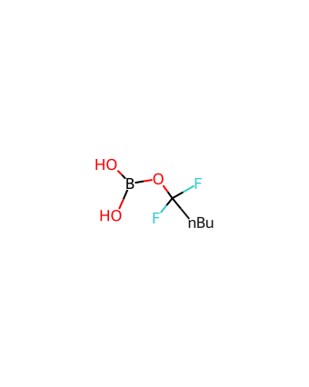 CCCCC(F)(F)OB(O)O